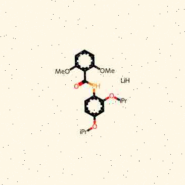 COc1cccc(OC)c1C(=O)Pc1ccc(OC(C)C)cc1OC(C)C.[LiH]